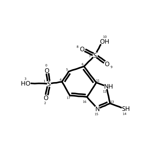 O=S(=O)(O)c1cc(S(=O)(=O)O)c2[nH]c(S)nc2c1